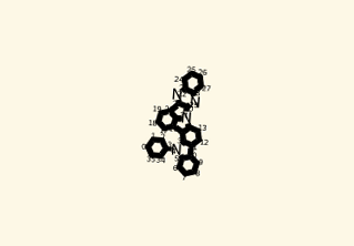 c1ccc(-n2c3ccccc3c3ccc4c(c5cccc6c7nc8ccccc8nc7n4c65)c32)cc1